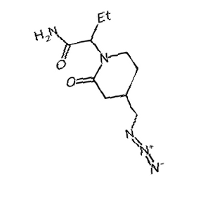 CCC(C(N)=O)N1CCC(CN=[N+]=[N-])CC1=O